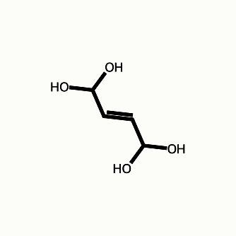 OC(O)C=CC(O)O